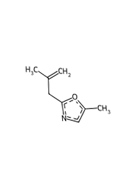 C=C(C)Cc1ncc(C)o1